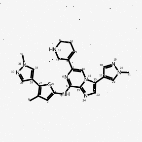 Cc1cc(Nc2nc(C3=CCCNC3)cn3c(-c4cnn(C)c4)cnc23)sc1-c1cnn(C)c1